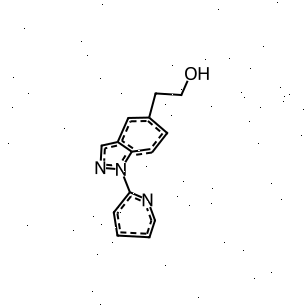 OCCc1ccc2c(cnn2-c2ccccn2)c1